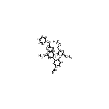 COCc1nc(C)oc1-c1c(-c2cccc(C#N)c2)nc(N)n2nc(Cc3ccccn3)nc12